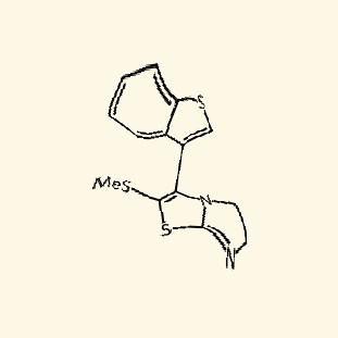 CSC1=C(c2csc3ccccc23)N2CCN=C2S1